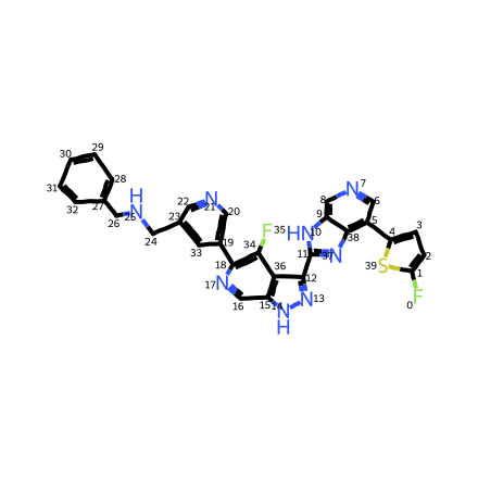 Fc1ccc(-c2cncc3[nH]c(-c4n[nH]c5cnc(-c6cncc(CNCc7ccccc7)c6)c(F)c45)nc23)s1